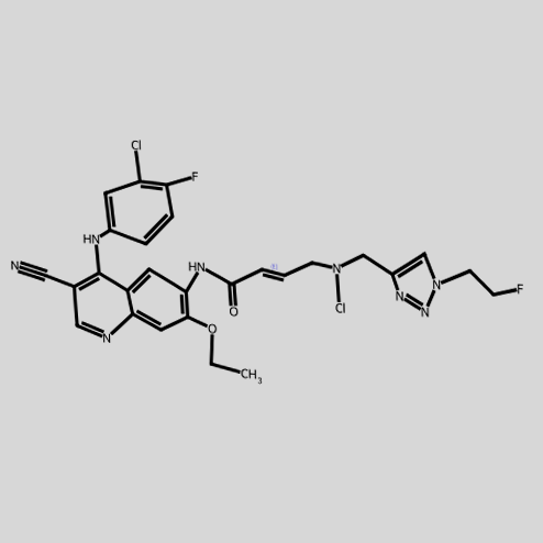 CCOc1cc2ncc(C#N)c(Nc3ccc(F)c(Cl)c3)c2cc1NC(=O)/C=C/CN(Cl)Cc1cn(CCF)nn1